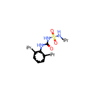 CC(C)NS(=O)(=O)NC(=O)Nc1c(C(C)C)cccc1C(C)C